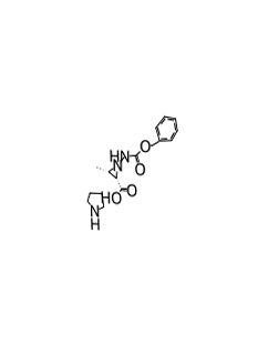 C1CCNC1.C[C@H]1[C@@H](C(=O)O)N1NC(=O)OCc1ccccc1